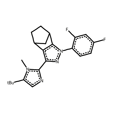 Cn1c(C(C)(C)C)cnc1-c1nn(-c2ccc(F)cc2F)c2c1C1CCC2C1